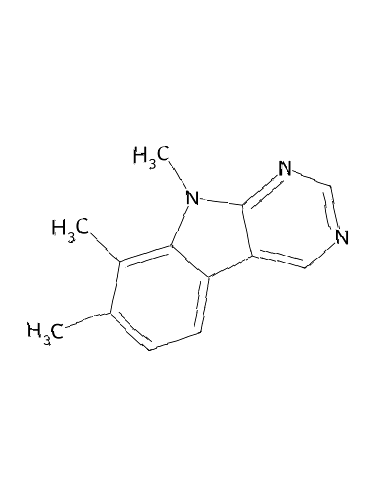 Cc1ccc2c3cncnc3n(C)c2c1C